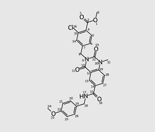 COC(=O)c1ccc(Cn2c(=O)c3cc(C(=O)NCc4ccc(OC)cc4)ccc3n(C)c2=O)cc1Cl